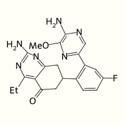 CCc1nc(N)nc2c1C(=O)CC(c1ccc(F)cc1-c1cnc(N)c(OC)n1)C2